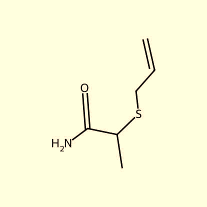 C=CCSC(C)C(N)=O